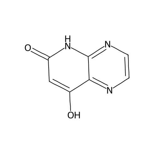 O=c1cc(O)c2nccnc2[nH]1